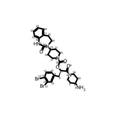 NC1CCN(C(=O)[C@@H](Cc2ccc(Br)c(Br)c2)OC(=O)N2CCC(N3CCc4ccccc4NC3=O)CC2)CC1